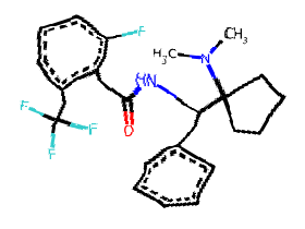 CN(C)C1(C(NC(=O)c2c(F)cccc2C(F)(F)F)c2ccccc2)CCCC1